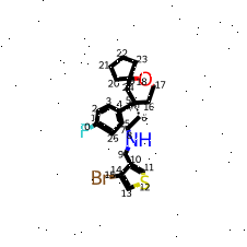 Fc1ccc([C@]2(CCNCc3cscc3Br)CCOC3(CCCC3)C2)cc1